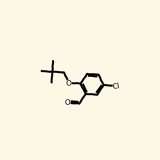 CC(C)(C)COc1ccc(Cl)cc1C=O